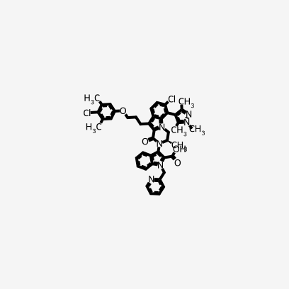 Cc1cc(OCCCc2c3n(c4c(-c5c(C)nn(C)c5C)c(Cl)ccc24)C[C@@H](C)N(c2c(C(=O)O)n(Cc4ccccn4)c4ccccc24)C3=O)cc(C)c1Cl